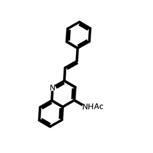 CC(=O)Nc1cc(/C=C/c2ccccc2)nc2ccccc12